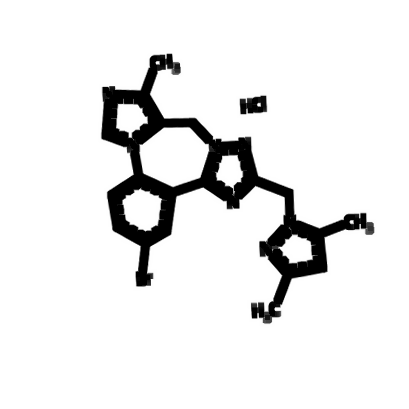 Cc1cc(C)n(Cc2nc3n(n2)Cc2c(C)ncn2-c2ccc(Br)cc2-3)n1.Cl